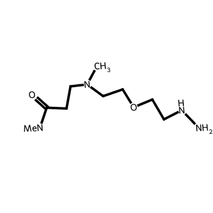 CNC(=O)CCN(C)CCOCCNN